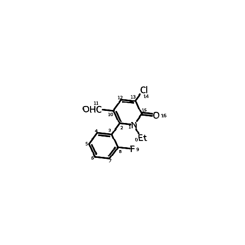 CCn1c(-c2ccccc2F)c(C=O)cc(Cl)c1=O